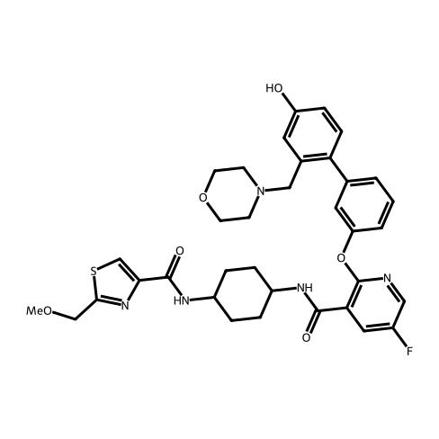 COCc1nc(C(=O)NC2CCC(NC(=O)c3cc(F)cnc3Oc3cccc(-c4ccc(O)cc4CN4CCOCC4)c3)CC2)cs1